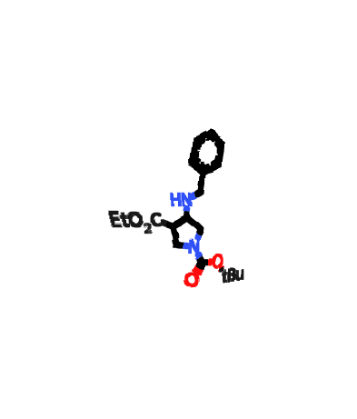 CCOC(=O)C1CN(C(=O)OC(C)(C)C)CC1NCc1ccccc1